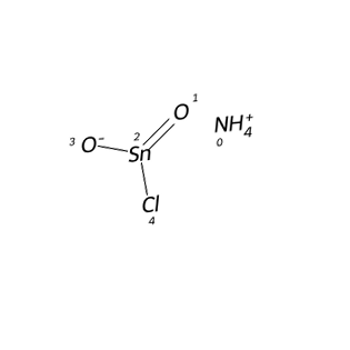 [NH4+].[O]=[Sn]([O-])[Cl]